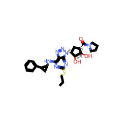 CCCSc1nc(NC2CC2c2ccccc2)c2nnn([C@@H]3C[C@H](C(=O)N4CCCC4)[C@@H](O)[C@H]3O)c2n1